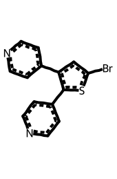 Brc1cc(-c2ccncc2)c(-c2ccncc2)s1